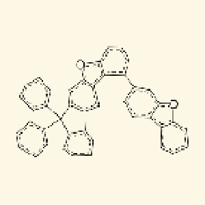 c1ccc(C2(c3ccccc3)c3ccccc3-c3cc4c(cc32)oc2cccc(-c3ccc5c(c3)oc3ccccc35)c24)cc1